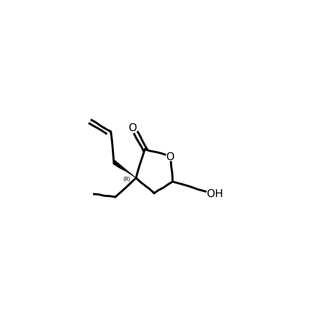 C=CC[C@]1(CC)CC(O)OC1=O